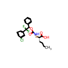 CCCC[C@H](SNC(=O)OC(c1ccccc1)C(F)(F)c1cccc(Cl)c1)C(=O)O